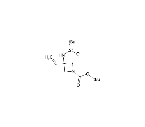 C=CC1(N[S+]([O-])C(C)(C)C)CN(C(=O)OC(C)(C)C)C1